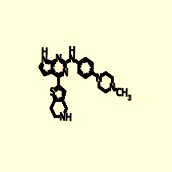 CN1CCN(c2ccc(Nc3nc(-c4cc5c(s4)CCNC5)c4cc[nH]c4n3)cc2)CC1